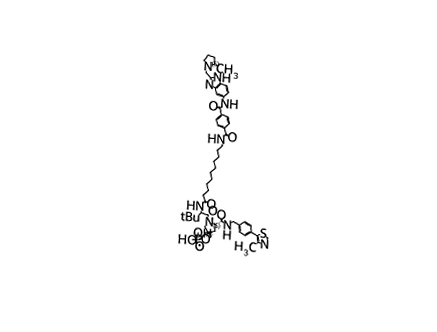 Cc1ncsc1-c1ccc(CNC(=O)[C@@H]2C[C@@H](OP(=O)(O)O)CN2C(=O)C(NC(=O)CCCCCCCCCCNC(=O)c2ccc(C(=O)Nc3ccc4[nH]c(CN5CCC[C@@H]5C)nc4c3)cc2)C(C)(C)C)cc1